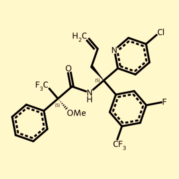 C=CC[C@](NC(=O)[C@@](OC)(c1ccccc1)C(F)(F)F)(c1cc(F)cc(C(F)(F)F)c1)c1ccc(Cl)cn1